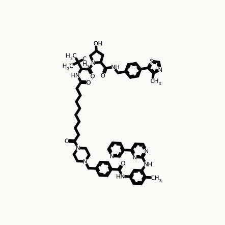 Cc1ccc(NC(=O)c2ccc(CN3CCN(C(=O)CCCCCCCCC(=O)NC(C(=O)N4CC(O)CC4C(=O)NCc4ccc(-c5scnc5C)cc4)C(C)(C)C)CC3)cc2)cc1Nc1nccc(-c2cccnc2)n1